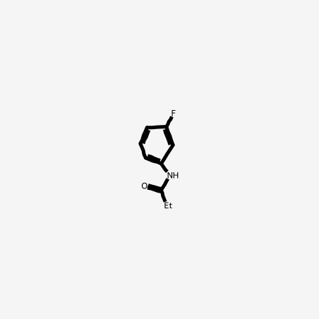 CCC(=O)Nc1cccc(F)c1